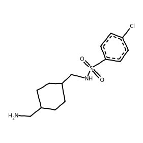 NCC1CCC(CNS(=O)(=O)c2ccc(Cl)cc2)CC1